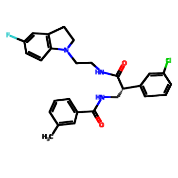 Cc1cccc(C(=O)NC[C@H](C(=O)NCCN2CCc3cc(F)ccc32)c2cccc(Cl)c2)c1